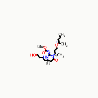 C=C/C=C(\C)OCC[C@H](C)N1C(=O)C[C@@](CC)(CCCCO)N/C1=N\C(=O)OC(C)(C)C